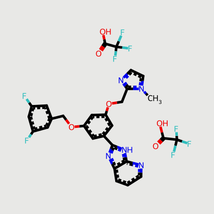 Cn1ccnc1COc1cc(OCc2cc(F)cc(F)c2)cc(-c2nc3cccnc3[nH]2)c1.O=C(O)C(F)(F)F.O=C(O)C(F)(F)F